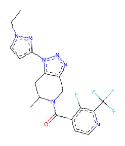 CCn1ccc(-n2nnc3c2CC(C)N(C(=O)c2ccnc(C(F)(F)F)c2F)C3)n1